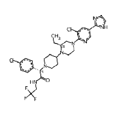 CC[C@H]1CN(c2ncc(-c3ncc[nH]3)cc2Cl)CCN1C1CCN([C@H](C(=O)NCC(F)(F)F)c2ccc(Cl)cc2)CC1